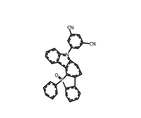 N#Cc1cc(C#N)cc(-n2c3ccccc3c3c4c(ccc32)-c2ccccc2P4(=O)c2ccccc2)c1